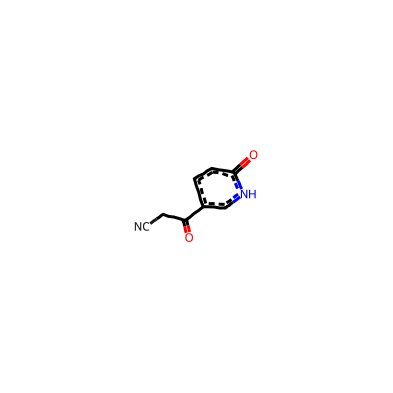 N#CCC(=O)c1ccc(=O)[nH]c1